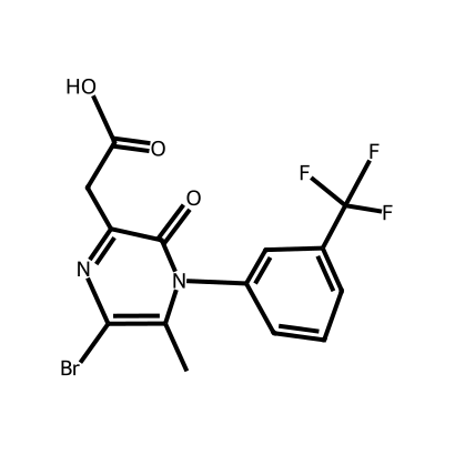 Cc1c(Br)nc(CC(=O)O)c(=O)n1-c1cccc(C(F)(F)F)c1